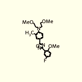 COCCN(CCOC)c1ccc(-c2nc(-c3cc(F)ccc3OC)no2)cc1C